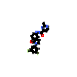 Cc1nccc(C(=O)N[C@H]2CCCC3(CCN(c4cc(F)cc(F)c4)C3=O)C2)n1